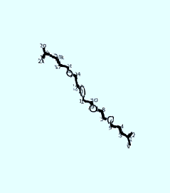 CC(C)CCCOCCOCCOCCOCCCC(C)I